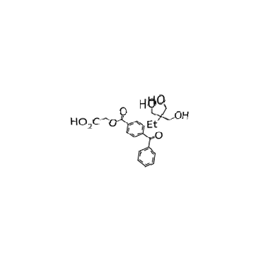 CCC(CO)(CO)CO.O=C(O)COC(=O)c1ccc(C(=O)c2ccccc2)cc1